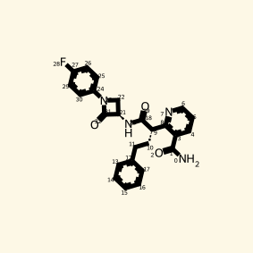 NC(=O)c1cccnc1[C@H](CCc1ccccc1)C(=O)N[C@H]1CN(c2ccc(F)cc2)C1=O